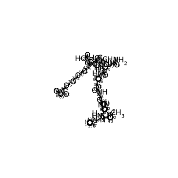 Cc1cccc(-c2nc(CNc3ccccc3F)[nH]c2-c2ccc3ncc(OCCNC(=O)OCc4ccc(NC(=O)[C@H](CCCNC(N)=O)NC(=O)[C@@H](NC(=O)[C@H](CCC(=O)O)NC(=O)CCOCCOCCOCCOCCN5C(=O)C=CC5=O)C(C)C)cc4)nc3c2)n1